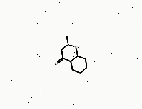 CC1CC(=O)C2CCCCC2N1